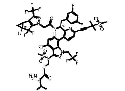 CC(C)[C@H](N)C(=O)OCN(c1nn(CC(F)(F)F)c2c(-c3ccc(C#CC(C)(C)S(C)(=O)=O)nc3[C@H](Cc3cc(F)cc(F)c3)NC(=O)Cn3nc(C(F)(F)F)c4c3C(F)(F)[C@@H]3CC43)ccc(Cl)c12)S(C)(=O)=O